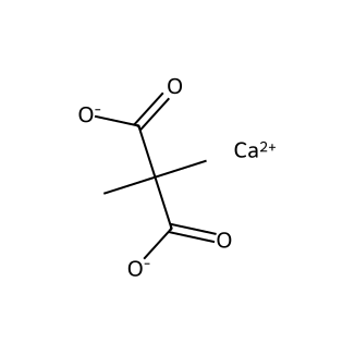 CC(C)(C(=O)[O-])C(=O)[O-].[Ca+2]